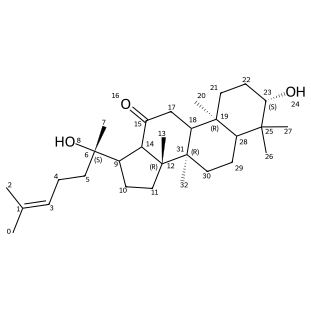 CC(C)=CCC[C@](C)(O)C1CC[C@]2(C)C1C(=O)CC1[C@@]3(C)CC[C@H](O)C(C)(C)C3CC[C@]12C